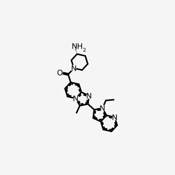 CCn1c(-c2nc3cc(C(=O)N4CCC[C@@H](N)C4)ccn3c2C)cc2cccnc21